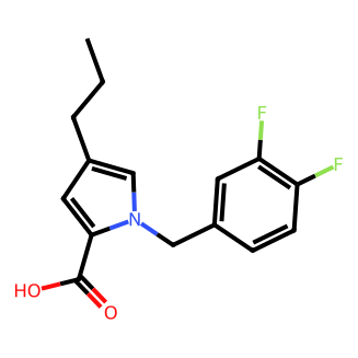 CCCc1cc(C(=O)O)n(Cc2ccc(F)c(F)c2)c1